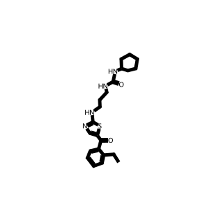 CCc1ccccc1C(=O)c1cnc(NCCCNC(=O)NC2CCCCC2)s1